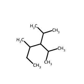 CCC(C)[C](C(C)C)C(C)C